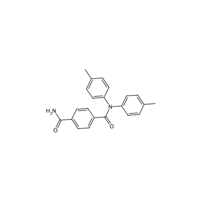 Cc1ccc(N(C(=O)c2ccc(C(N)=O)cc2)c2ccc(C)cc2)cc1